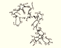 C=C/C(=C\N=C(/N)n1c2c(c3ccccc31)=CC(c1ccc3c(c1)c1ccccc1n3-c1ccccc1)CC=2)c1cccc(-c2cccc(-c3ccccc3)c2)c1